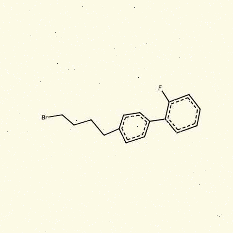 Fc1ccccc1-c1ccc(CCCCBr)cc1